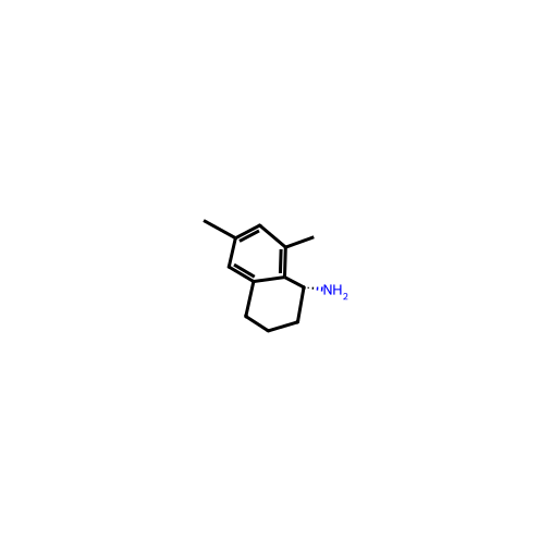 Cc1cc(C)c2c(c1)CCC[C@H]2N